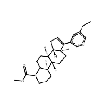 CCc1cncc(C2=CC[C@H]3[C@@H]4CCC5N(C(=O)OC)CCC[C@]5(C)[C@H]4CC[C@]23C)c1